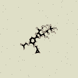 COC(=O)c1nc(-c2ccc(OCC(F)F)c(OCC3CC3)c2)oc1C(C)NC(=O)OC(C)(C)C